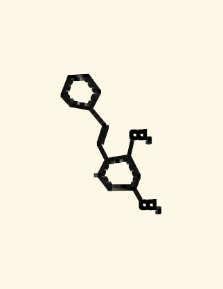 ClC(Cl)(Cl)c1c[c]c(C=Cc2ccccc2)c(C(Cl)(Cl)Cl)c1